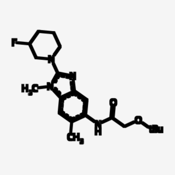 Cc1cc2c(cc1NC(=O)COC(C)(C)C)nc(N1CCCC(F)C1)n2C